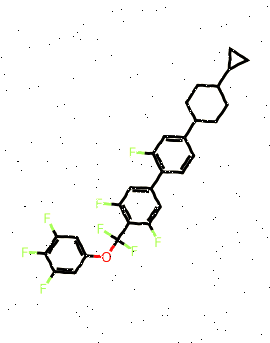 Fc1cc(C2CCC(C3CC3)CC2)ccc1-c1cc(F)c(C(F)(F)Oc2cc(F)c(F)c(F)c2)c(F)c1